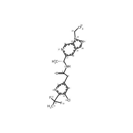 C[C@@H](NC(=O)Cc1cnc(C(C)(F)F)c(Cl)c1)c1cc2cnn(CC(F)(F)F)c2cn1